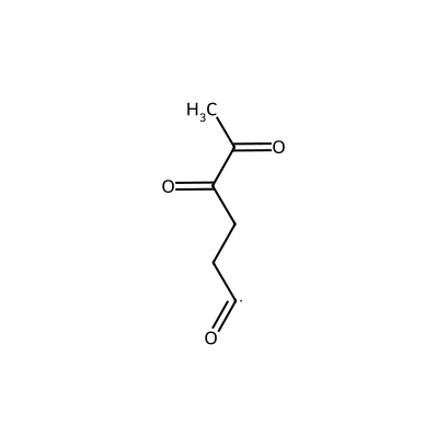 CC(=O)C(=O)CC[C]=O